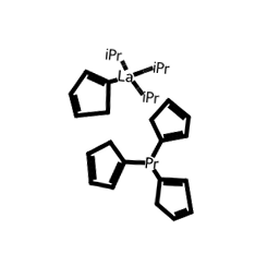 C1=CC[C]([Pr]([C]2=CC=CC2)[C]2=CC=CC2)=C1.C[CH](C)[La]([C]1=CC=CC1)([CH](C)C)[CH](C)C